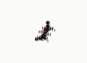 CC1(c2ccc(-c3ccccc3)cc2)Nc2cccc3c(C4C(O)C(c5ccc6c7c(cccc57)NC(C)(c5ccc(-c7ccccc7)cc5)N6)C4O)ccc(c23)N1